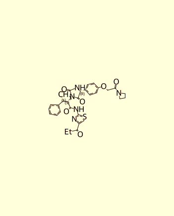 CCC(=O)c1csc(NC(=O)[C@H]([C@@H](C)c2ccccc2)N2C(=O)N[C@H](c3ccc(OCC(=O)N4CCC4)cc3)C2=O)n1